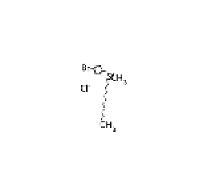 CCCCCCCCCCCC[S+](C)Cc1ccc(Br)cc1.[Cl-]